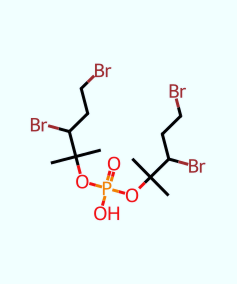 CC(C)(OP(=O)(O)OC(C)(C)C(Br)CCBr)C(Br)CCBr